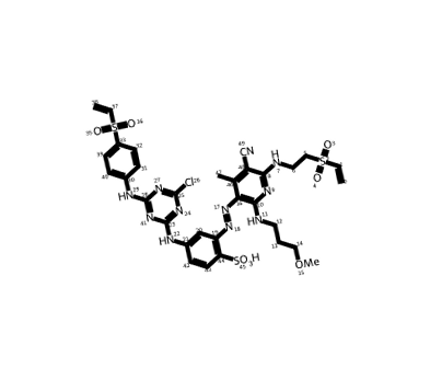 C=CS(=O)(=O)CCNc1nc(NCCCOC)c(/N=N/c2cc(Nc3nc(Cl)nc(Nc4ccc(S(=O)(=O)C=C)cc4)n3)ccc2S(=O)(=O)O)c(C)c1C#N